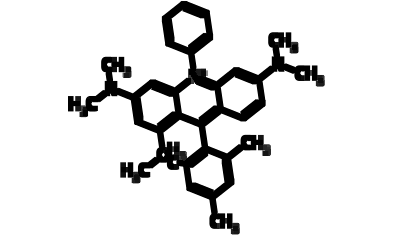 COc1cc(N(C)C)cc2c1c(-c1c(C)cc(C)cc1C)c1ccc(N(C)C)cc1[n+]2-c1ccccc1